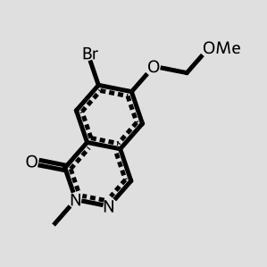 COCOc1cc2cnn(C)c(=O)c2cc1Br